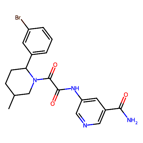 CC1CCC(c2cccc(Br)c2)N(C(=O)C(=O)Nc2cncc(C(N)=O)c2)C1